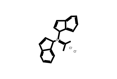 C[C](C)=[Zr+2]([CH]1C=Cc2ccccc21)[CH]1C=Cc2ccccc21.[Cl-].[Cl-]